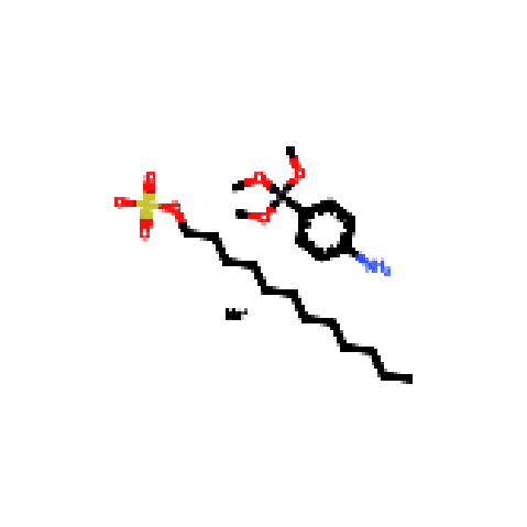 CCCCCCCCCCCCOS(=O)(=O)[O-].CO[Si](OC)(OC)c1ccc(N)cc1.[Na+]